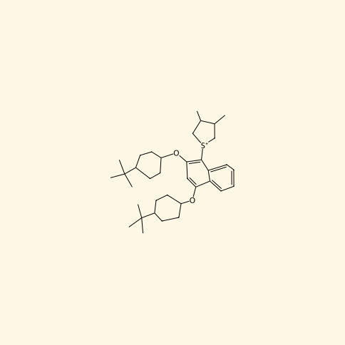 CC1C[S+](c2c(OC3CCC(C(C)(C)C)CC3)cc(OC3CCC(C(C)(C)C)CC3)c3ccccc23)CC1C